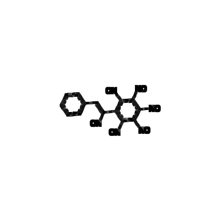 O=NC(=Cc1ccccc1)c1c(N=O)c(N=O)c(N=O)c(N=O)c1N=O